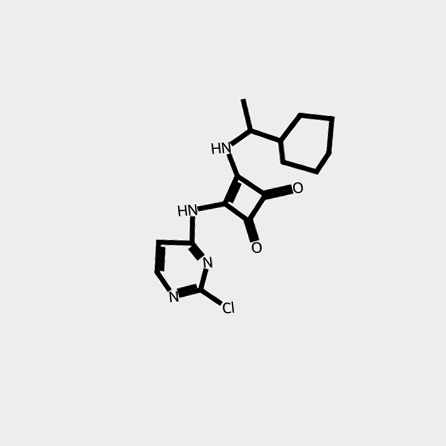 CC(Nc1c(Nc2ccnc(Cl)n2)c(=O)c1=O)C1CCCCC1